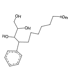 CCCCCCCCCCCCCCCCC(c1ccccc1)C(O)C(O)CO